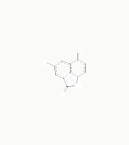 O=C1Nc2ccc(Br)c3cc(Cl)cc1c23